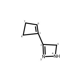 C1=C(C2=NNC2)CC1